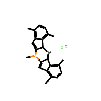 Cc1ccc(C)c2c1C=C1[CH]2[Ti+2][CH]2C(=Cc3c(C)ccc(C)c32)P1C.[Cl-].[Cl-]